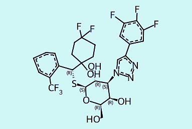 OC[C@H]1O[C@@H](S[C@H](c2ccccc2C(F)(F)F)C2(O)CCC(F)(F)CC2)[C@H](O)[C@@H](n2cc(-c3cc(F)c(F)c(F)c3)nn2)[C@H]1O